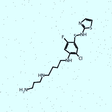 NCCCNCCCCNc1cc(F)c(SNc2nccs2)cc1Cl